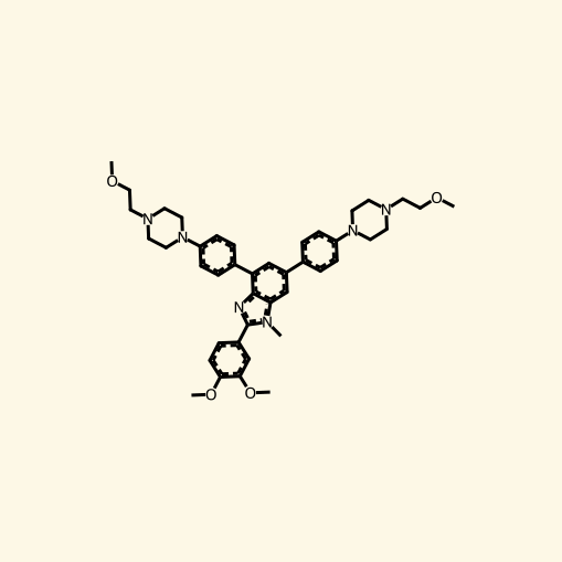 COCCN1CCN(c2ccc(-c3cc(-c4ccc(N5CCN(CCOC)CC5)cc4)c4nc(-c5ccc(OC)c(OC)c5)n(C)c4c3)cc2)CC1